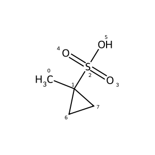 CC1(S(=O)(=O)O)CC1